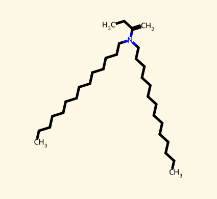 C=C(CC)N(CCCCCCCCCCCCCC)CCCCCCCCCCCCCC